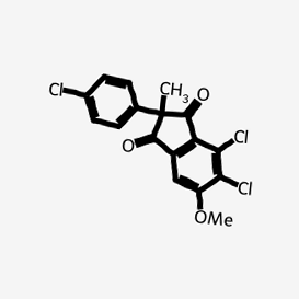 COc1cc2c(c(Cl)c1Cl)C(=O)C(C)(c1ccc(Cl)cc1)C2=O